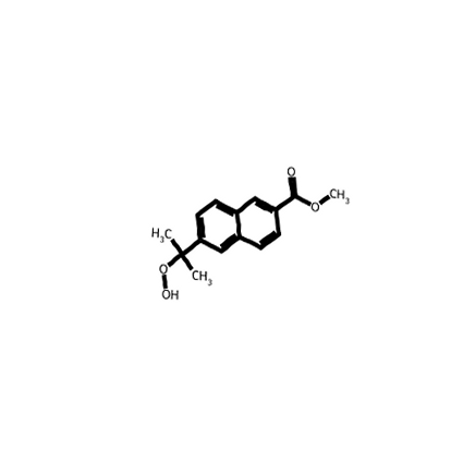 COC(=O)c1ccc2cc(C(C)(C)OO)ccc2c1